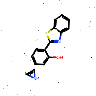 C1=CN1.Oc1ccccc1-c1nc2ccccc2s1